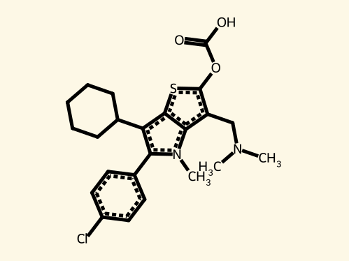 CN(C)Cc1c(OC(=O)O)sc2c(C3CCCCC3)c(-c3ccc(Cl)cc3)n(C)c12